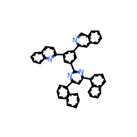 c1ccc2cc(-c3cc(-c4ccc5ccccc5n4)cc(-c4nc(-c5cccc6ccccc56)cc(-c5cccc6ccccc56)n4)c3)ncc2c1